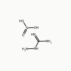 N=C(N)NN.O=[Si](O)O